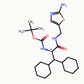 CC(C)(C)OC(=O)N[C@@H](C(=O)NCc1cnc(N)s1)C(C1CCCCC1)C1CCCCC1